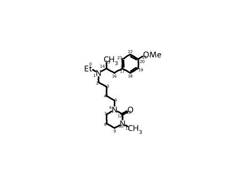 CCN(CCCCN1CCCN(C)C1=O)C(C)Cc1ccc(OC)cc1